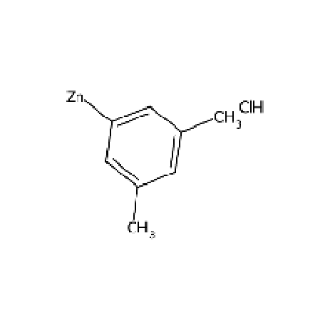 Cc1cc(C)c[c]([Zn])c1.Cl